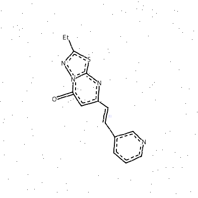 CCc1nn2c(=O)cc(/C=C/c3cccnc3)nc2s1